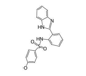 [O]c1ccc(S(=O)(=O)Nc2ccccc2-c2nc3ccccc3[nH]2)cc1